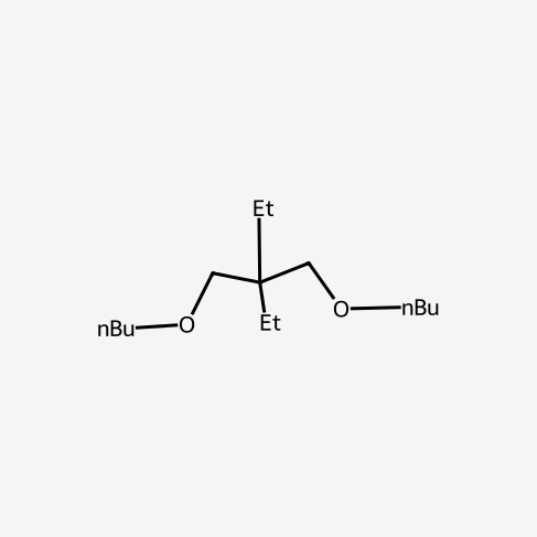 CCCCOCC(CC)(CC)COCCCC